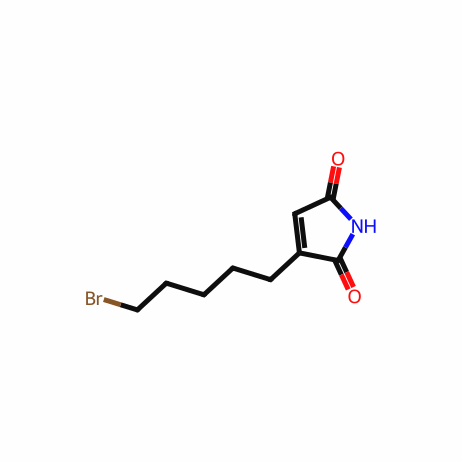 O=C1C=C(CCCCCBr)C(=O)N1